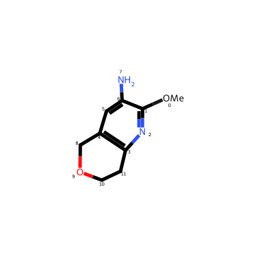 COc1nc2c(cc1N)COCC2